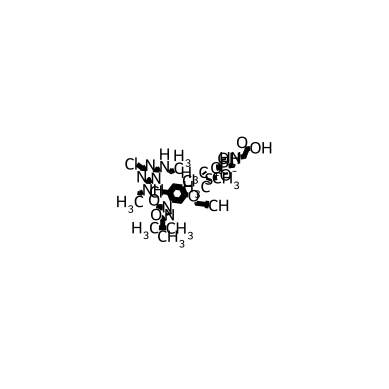 C#CCOc1cc(-n2nc(C(C)(C)C)oc2=O)c(Cl)cc1Cl.CCNc1nc(Cl)nc(NCC)n1.C[S+](C)C.O=C(O)CNCP(=O)([O-])O